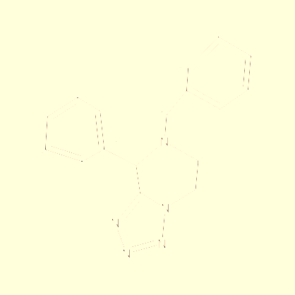 c1ccc(CN2CCn3nnnc3C2c2ccccc2)cc1